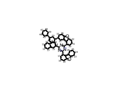 N/C(=N\C(=N/Cc1ccc2ccccc2c1)c1cccc2oc3ccccc3c12)c1cccc2oc3ccc(-c4cccc(-c5ccccc5)c4)cc3c12